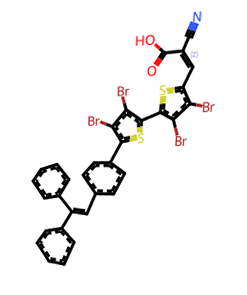 N#C/C(=C/c1sc(-c2sc(-c3ccc(C=C(c4ccccc4)c4ccccc4)cc3)c(Br)c2Br)c(Br)c1Br)C(=O)O